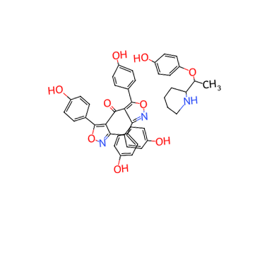 CC(Oc1ccc(O)cc1)C1CCCCN1.O=C(c1c(-c2ccc(O)cc2)noc1-c1ccc(O)cc1)c1c(-c2ccc(O)cc2)noc1-c1ccc(O)cc1